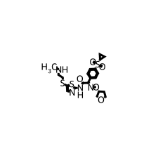 CNCCSc1cnc(NC(=O)/C(=N/O[C@@H]2CCOC2)c2ccc(S(=O)(=O)C3CC3)cc2)s1